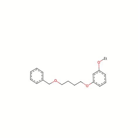 CCOc1cccc(OCCCCOCc2ccccc2)c1